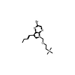 CC/C=C/c1cn(COCC[Si](C)(C)C)c2ncc(Br)nc12